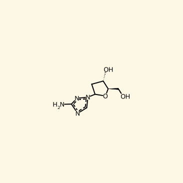 Nc1ncn(C2C[C@H](O)[C@@H](CO)O2)n1